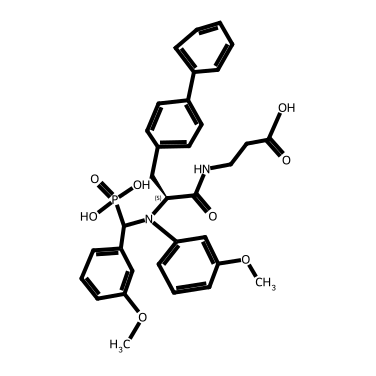 COc1cccc(C(N(c2cccc(OC)c2)[C@@H](Cc2ccc(-c3ccccc3)cc2)C(=O)NCCC(=O)O)P(=O)(O)O)c1